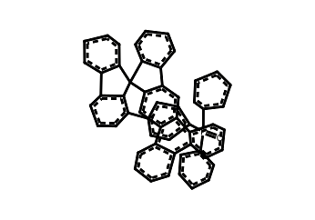 O=P(c1ccccc1)(c1ccccc1)c1ccc(-c2cccc3c2C2(c4ccccc4-c4cc5c6ccccc6c6ccccc6c5cc42)c2ccccc2-3)cc1